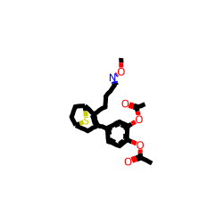 CON=CCCC1=C(c2ccc(OC(C)=O)c(OC(C)=O)c2)CC2CCC1S2